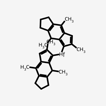 CC1=CC2=C(C)C3=C(CCC3)C(C)C2=[C]1[Hf][C]1=C2C(=C(C)C3=C(CCC3)C2C)C=C1C